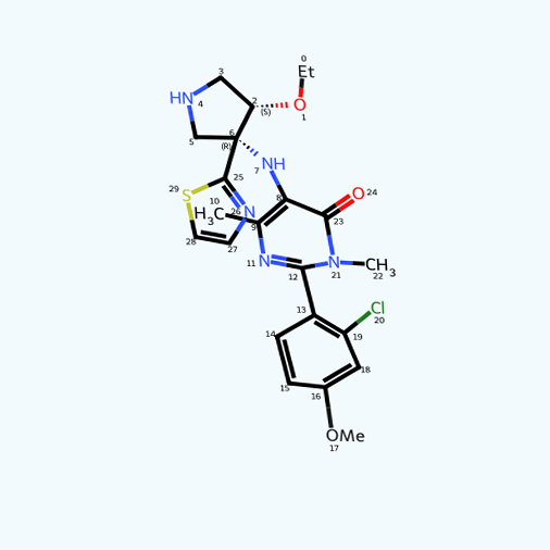 CCO[C@H]1CNC[C@]1(Nc1c(C)nc(-c2ccc(OC)cc2Cl)n(C)c1=O)c1nccs1